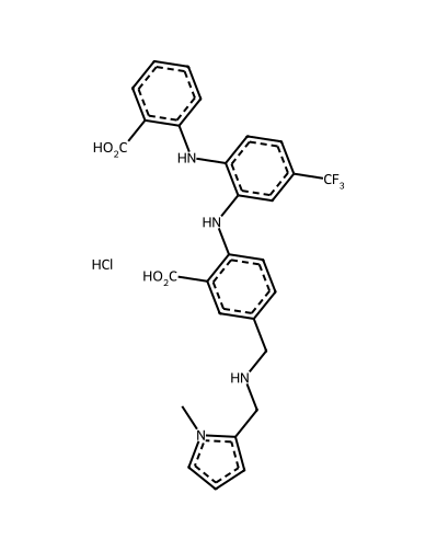 Cl.Cn1cccc1CNCc1ccc(Nc2cc(C(F)(F)F)ccc2Nc2ccccc2C(=O)O)c(C(=O)O)c1